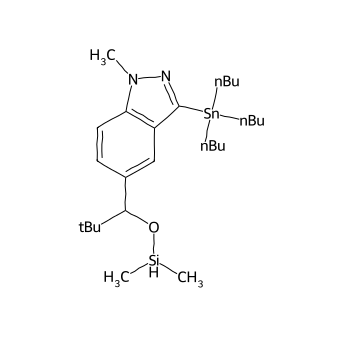 CCC[CH2][Sn]([CH2]CCC)([CH2]CCC)[c]1nn(C)c2ccc(C(O[SiH](C)C)C(C)(C)C)cc12